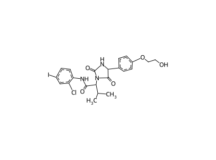 CC(C)C(C(=O)Nc1ccc(I)cc1Cl)N1C(=O)NC(c2ccc(OCCO)cc2)C1=O